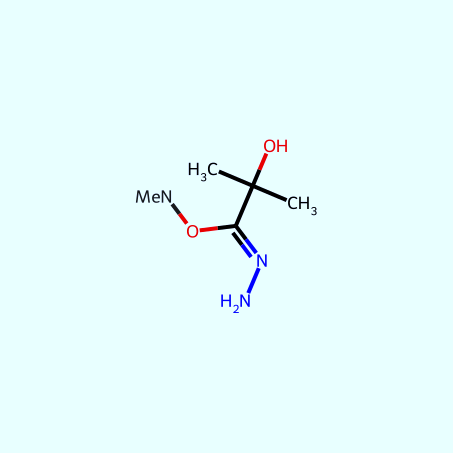 CNO/C(=N\N)C(C)(C)O